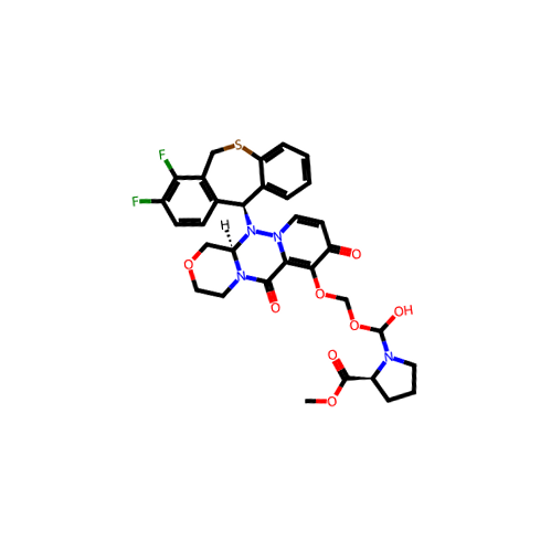 COC(=O)[C@@H]1CCCN1C(O)OCOc1c2n(ccc1=O)N([C@@H]1c3ccccc3SCc3c1ccc(F)c3F)[C@@H]1COCCN1C2=O